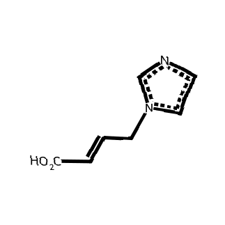 O=C(O)C=CCn1ccnc1